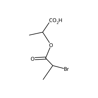 CC(Br)C(=O)OC(C)C(=O)O